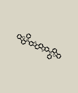 c1ccc(N(c2ccc3c(c2)sc2c3ccc3c2ccc2c4ccc(N(c5ccccc5)c5cccc6c5oc5ccccc56)cc4sc23)c2cccc3c2oc2ccccc23)cc1